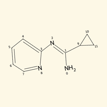 NC(=Nc1ccccn1)C1CC1